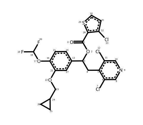 O=C(OC(Cc1c(Cl)cncc1Cl)c1ccc(OC(F)F)c(OCC2CC2)c1)c1sccc1Cl